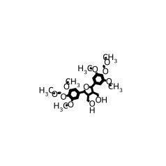 COCOc1c(OC)cc(C2OC(c3cc(OC)c(OCOC)c(OC)c3)C(CO)C2CO)cc1OC